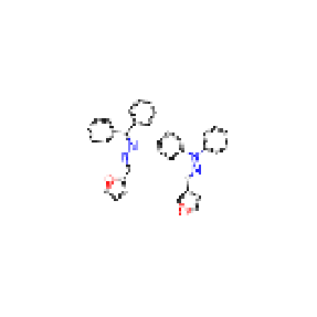 C(=NN(c1ccccc1)c1ccccc1)c1ccoc1.C(=NN=C(c1ccccc1)c1ccccc1)c1ccco1